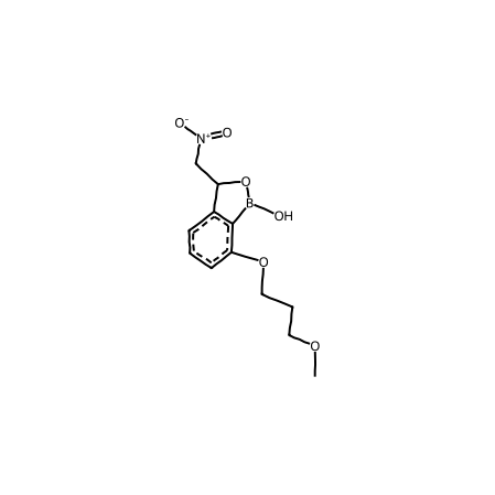 COCCCOc1cccc2c1B(O)OC2C[N+](=O)[O-]